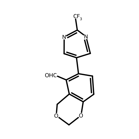 O=Cc1c(-c2cnc(C(F)(F)F)nc2)ccc2c1COCO2